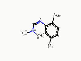 COc1ccc(C(F)(F)F)cc1/N=C\N(C)C